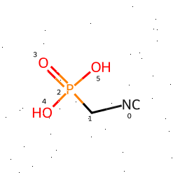 [C-]#[N+]CP(=O)(O)O